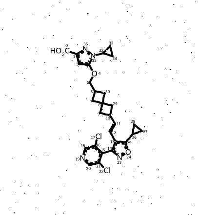 O=C(O)c1cc(OCC2CC3(CC(/C=C/c4c(-c5c(Cl)cncc5Cl)noc4C4CC4)C3)C2)n(C2CC2)n1